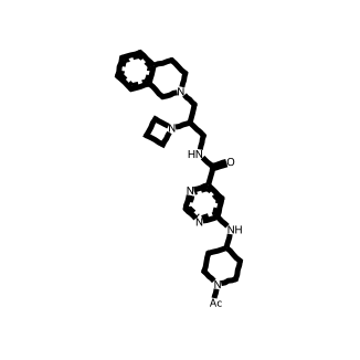 CC(=O)N1CCC(Nc2cc(C(=O)NCC(CN3CCc4ccccc4C3)N3CCC3)ncn2)CC1